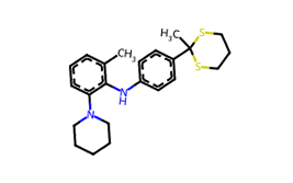 Cc1cccc(N2CCCCC2)c1Nc1ccc(C2(C)SCCCS2)cc1